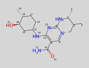 CC(C)[C@@H](C)Nc1ncc(C(N)=O)c(NC2CC[C@@H](C)[C@H](O)C2)n1